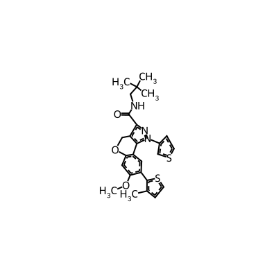 COc1cc2c(cc1-c1sccc1C)-c1c(c(C(=O)NCC(C)(C)C)nn1-c1ccsc1)CO2